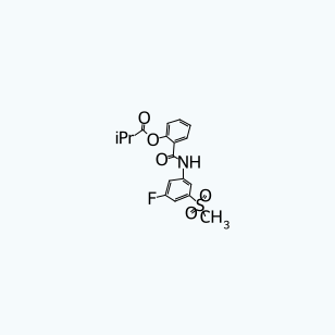 CC(C)C(=O)Oc1ccccc1C(=O)Nc1cc(F)cc(S(C)(=O)=O)c1